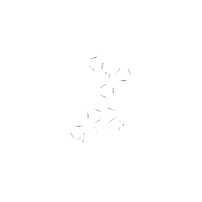 c1ccc(-n2c3ccccc3c3cc(-c4cc5ncoc5c5c4ccc4c6cccnc6oc45)ccc32)cc1